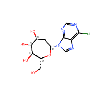 OC[C@H]1O[C@@H](n2cnc3c(Cl)ncnc32)C[C@H](O)[C@@H](O)[C@@H]1O